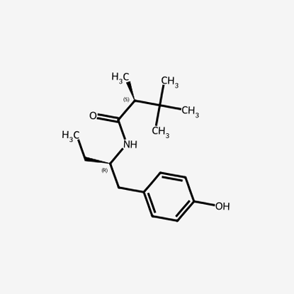 CC[C@H](Cc1ccc(O)cc1)NC(=O)[C@@H](C)C(C)(C)C